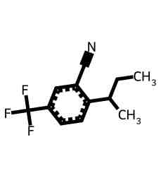 CCC(C)c1ccc(C(F)(F)F)cc1C#N